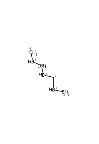 BBCBBBC